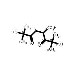 CC(C)(S)C(=O)CC(C(=O)O)C(=O)C(C)(C)S